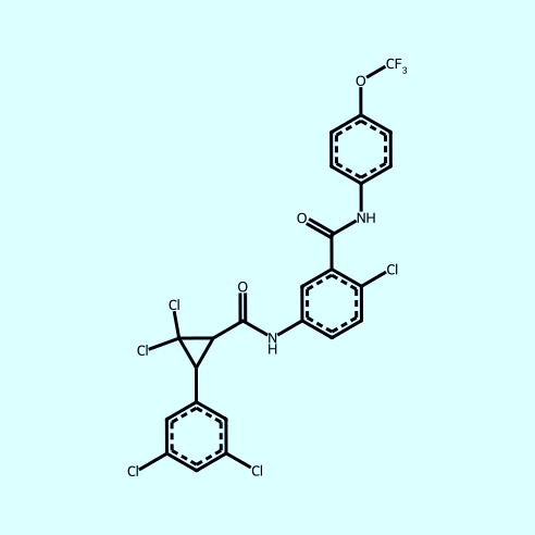 O=C(Nc1ccc(OC(F)(F)F)cc1)c1cc(NC(=O)C2C(c3cc(Cl)cc(Cl)c3)C2(Cl)Cl)ccc1Cl